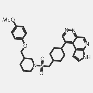 COc1ccc(OCC2CCCN(S(=O)(=O)CC3CCC(c4cnnc5cnc6[nH]ccc6c45)CC3)C2)cc1